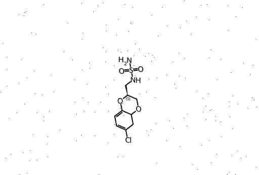 NS(=O)(=O)NC[C@H]1COC2CC(Cl)=CC=C2O1